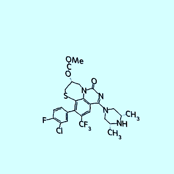 COCO[C@H]1CSc2c(-c3ccc(F)c(Cl)c3)c(C(F)(F)F)cc3c(N4C[C@@H](C)N[C@@H](C)C4)nc(=O)n(c23)C1